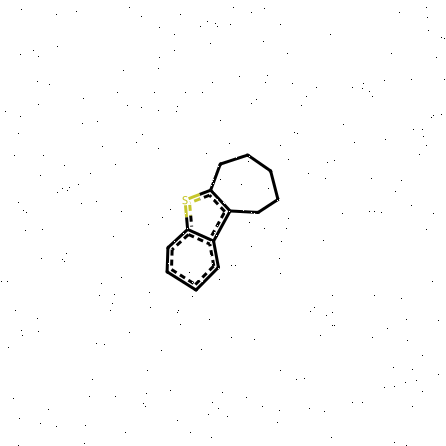 c1ccc2c3c(sc2c1)CCCCC3